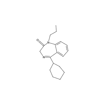 CCCN1C(=O)CN=C(C2CCCCC2)c2ccccc21